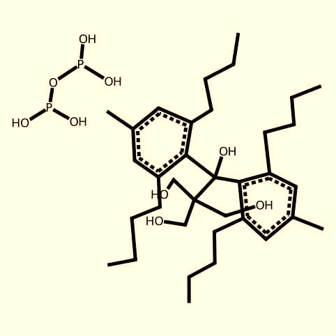 CCCCc1cc(C)cc(CCCC)c1C(O)(c1c(CCCC)cc(C)cc1CCCC)C(CO)(CO)CO.OP(O)OP(O)O